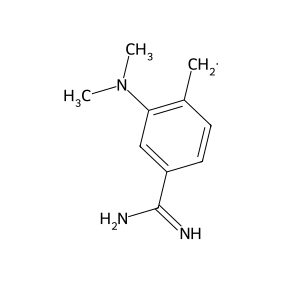 [CH2]c1ccc(C(=N)N)cc1N(C)C